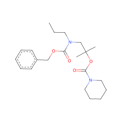 CCCN(CC(C)(C)OC(=O)N1CCCCC1)C(=O)OCc1ccccc1